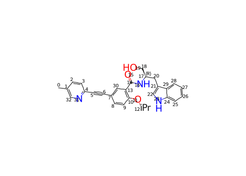 Cc1ccc(C#Cc2ccc(OC(C)C)c(C(=O)N[C@@H](CO)Cc3c[nH]c4ccccc34)c2)nc1